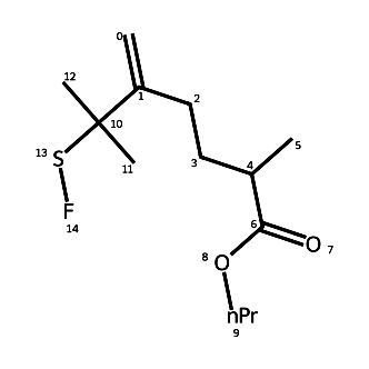 C=C(CCC(C)C(=O)OCCC)C(C)(C)SF